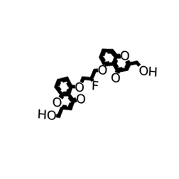 O=c1cc(CO)oc2cccc(OCC(F)COc3cccc4oc(CO)cc(=O)c34)c12